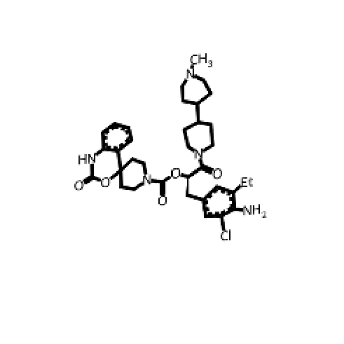 CCc1cc(C[C@@H](OC(=O)N2CCC3(CC2)OC(=O)Nc2ccccc23)C(=O)N2CCC(C3CCN(C)CC3)CC2)cc(Cl)c1N